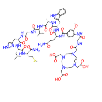 COc1cc(C(=O)N[C@@H](CCC(N)=O)C(=O)N[C@@H](Cc2c[nH]c3ccccc23)C(=O)N[C@@H](C)C(=O)N[C@H](C(=O)NCC(=O)N[C@@H](Cc2c[nH]cn2)C(=O)N[C@@H](CC(C)C)C(=O)N[C@@H](CCSC)C(N)=O)C(C)C)ccc1NC(=O)CNC(=O)CN1CCN(CC(=O)O)CCN(CC(=O)O)CCN(CC(=O)O)CC1